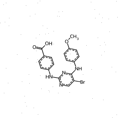 COc1ccc(Nc2nc(Nc3ccc(C(=O)O)cc3)ncc2Br)cc1